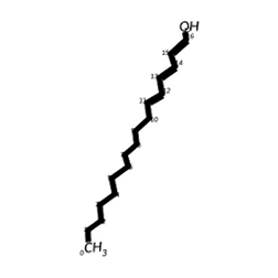 CCCCCCCCCCCC=CC=CC=CO